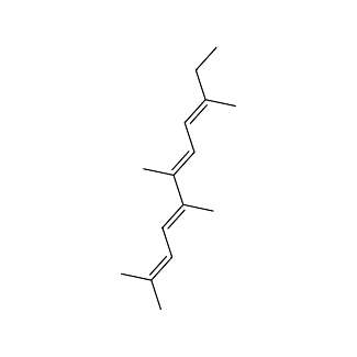 CC/C(C)=C/C=C(C)/C(C)=C/C=C(C)C